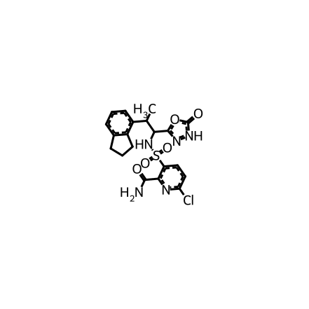 CC(c1cccc2c1CCC2)C(NS(=O)(=O)c1ccc(Cl)nc1C(N)=O)c1n[nH]c(=O)o1